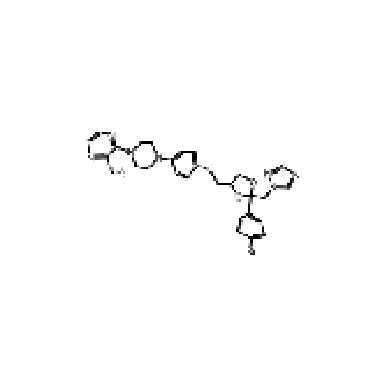 O=[N+]([O-])c1nccnc1N1CCN(c2ccc(OCC3COC(Cn4cncn4)(c4ccc(Br)cc4)O3)cc2)CC1